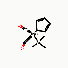 C[Si](C)(C)[Mo](=[C]=O)(=[C]=O)[CH]1C=CC=C1